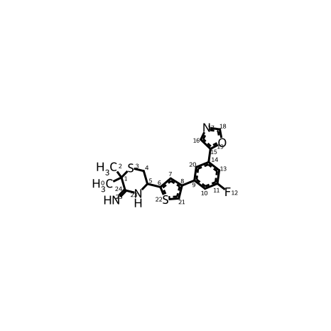 CC1(C)SCC(c2cc(-c3cc(F)cc(-c4cnco4)c3)cs2)NC1=N